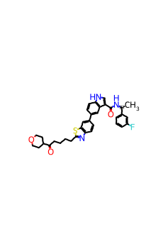 C[C@H](NC(=O)c1c[nH]c2ccc(-c3ccc4nc(CCCCC(=O)C5CCOCC5)sc4c3)cc12)c1cccc(F)c1